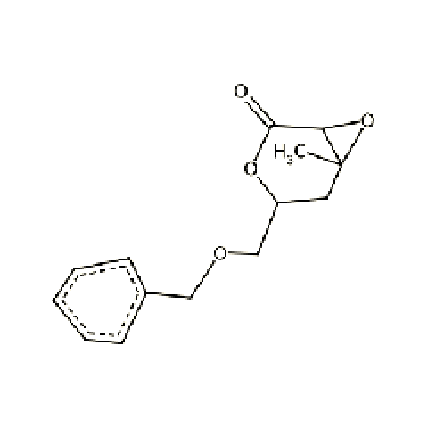 CC12CC(COCc3ccccc3)OC(=O)C1O2